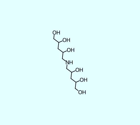 OCC(O)CC(O)CNCC(O)CC(O)CO